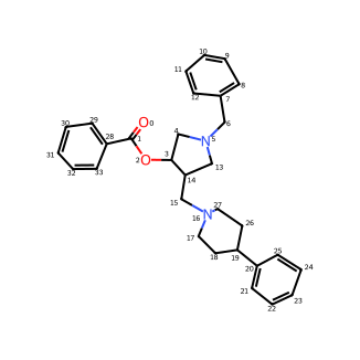 O=C(OC1CN(Cc2ccccc2)CC1CN1CCC(c2ccccc2)CC1)c1ccccc1